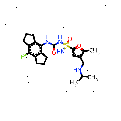 Cc1oc(S(=N)(=O)NC(=O)Nc2c3c(c(F)c4c2CCC4)CCC3)cc1CNC(C)C